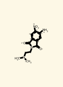 CN(C)CCN1C(=O)c2cc(N)c([N+](=O)[O-])cc2C1=O